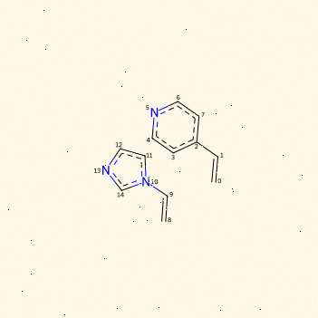 C=Cc1ccncc1.C=Cn1ccnc1